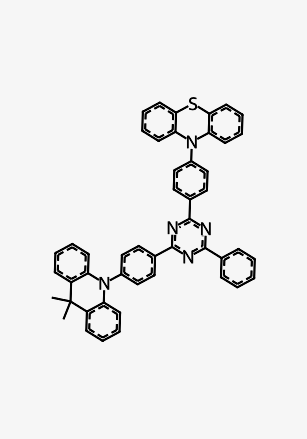 CC1(C)c2ccccc2N(c2ccc(-c3nc(-c4ccccc4)nc(-c4ccc(N5c6ccccc6Sc6ccccc65)cc4)n3)cc2)c2ccccc21